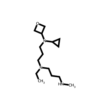 CCN(CCCNC)CCCN(C1CC1)C1COC1